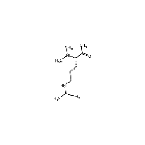 CC(=O)[C@H](CCCNC(N)N)N(C)C